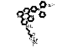 F[P-](F)(F)(F)(F)F.NCCCC(=O)[O-].[Ru+2].c1ccc(-c2ccccn2)nc1.c1ccc(-c2ccccn2)nc1.c1ccc(P(c2ccccc2)c2ccccc2)cc1